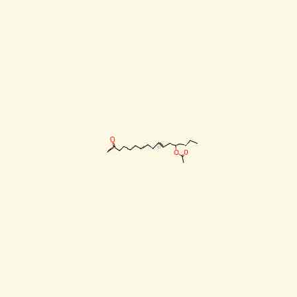 CCCCC(C/C=C/CCCCCCCC(C)=O)OC(C)=O